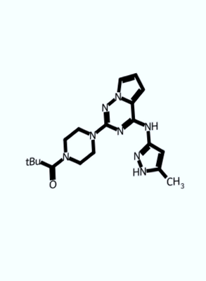 Cc1cc(Nc2nc(N3CCN(C(=O)C(C)(C)C)CC3)nn3cccc23)n[nH]1